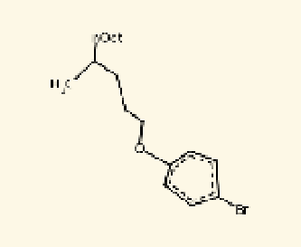 CCCCCCCCC(C)CCCOc1ccc(Br)cc1